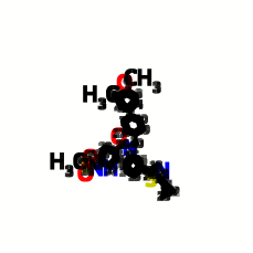 COc1ccc([C@H]2CC[C@H](CN(c3cccc(-c4cnc(C5CC5)s4)c3)C(=O)[C@H]3CC[C@H](NS(C)(=O)=O)CC3)CC2)cc1C